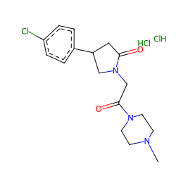 CN1CCN(C(=O)CN2CC(c3ccc(Cl)cc3)CC2=O)CC1.Cl.Cl